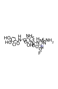 N=C(OCCNC(=O)c1ccc(O)c(O)c1Cl)C1=C(C(=O)O)N2C(=O)C(NC(=O)/C(=N\OCF)c3nsc(N)n3)C2SC1